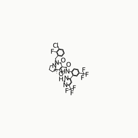 C[C@]12CCCN1N(Cc1cccc(Cl)c1F)C(=O)C(C(=O)Nc1ccc(C(F)(F)F)cc1-c1cc(C(F)(F)F)ncn1)=C2O